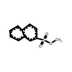 COS(=O)(=O)c1ccc2ccccc2c1